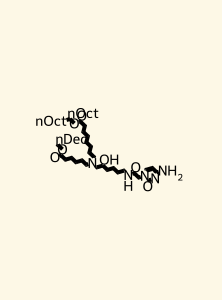 CCCCCCCCCCCOC(=O)CCCCCN(CCCCCCCC(=O)OC(CCCCCCCC)CCCCCCCC)CC(O)CCCCNC(=O)Cn1ccc(N)nc1=O